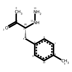 CC(=O)[C@@H](Cc1ccc(C)cc1)NN